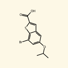 CC(C)Oc1cc(Br)c2sc(C(=O)O)cc2c1